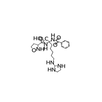 O=C(NC(CCCCCNC1NCCN1)(NS(=O)(=O)c1ccccc1)C(=O)O)C1CCON1